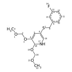 COCOC1=CC(SCc2cccc(F)c2)=CNC1OCOC